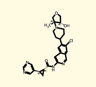 C[C@@]1(N2CCC(c3cc4cc(NC(=O)[C@@H]5C[C@H]5c5cncnc5)ncc4cc3Cl)CC2)COC[C@@H]1O